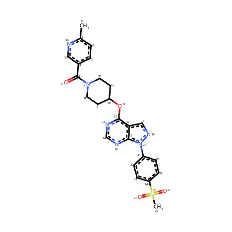 Cc1ccc(C(=O)N2CCC(Oc3ncnc4c3cnn4-c3ccc(S(C)(=O)=O)cc3)CC2)cn1